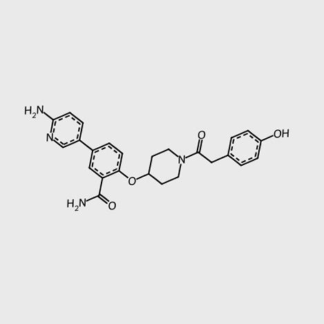 NC(=O)c1cc(-c2ccc(N)nc2)ccc1OC1CCN(C(=O)Cc2ccc(O)cc2)CC1